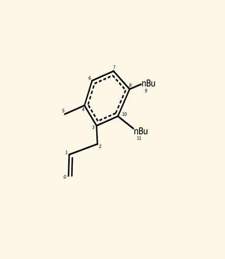 C=CCc1c(C)ccc(CCCC)c1CCCC